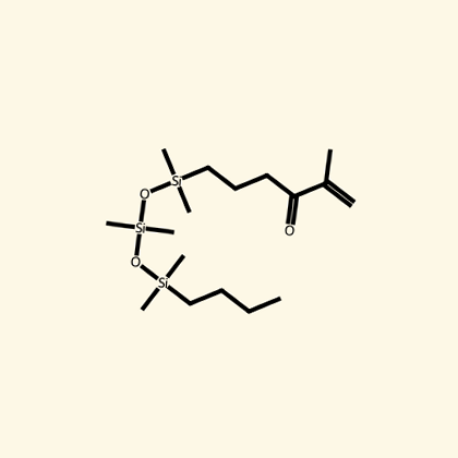 C=C(C)C(=O)CCC[Si](C)(C)O[Si](C)(C)O[Si](C)(C)CCCC